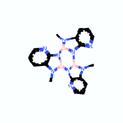 CN1B2N(B3N(C)c4cccnc4N3B3N(C)c4cccnc4N23)c2ncccc21